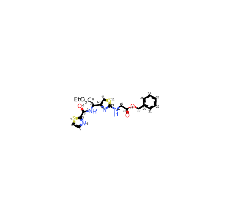 CCOC(=O)C(NC(=O)c1nccs1)c1csc(NCC(=O)OCc2ccccc2)n1